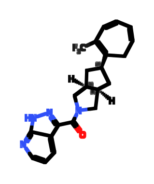 O=C(c1n[nH]c2ncccc12)N1C[C@H]2C[C@@H](C3=C(C(F)(F)F)C=CC=CC3)C[C@H]2C1